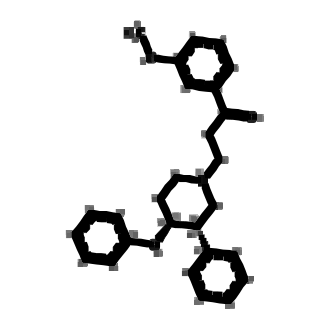 COc1cccc(C(=O)CCN2CC[C@H](Oc3ccccc3)[C@@H](c3ccccc3)C2)c1